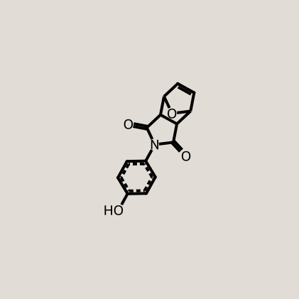 O=C1C2C3C=CC(O3)C2C(=O)N1c1ccc(O)cc1